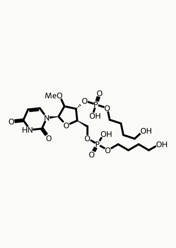 COC1[C@H](n2ccc(=O)[nH]c2=O)O[C@H](COP(=O)(O)OCCCCO)[C@H]1OP(=O)(O)OCCCCO